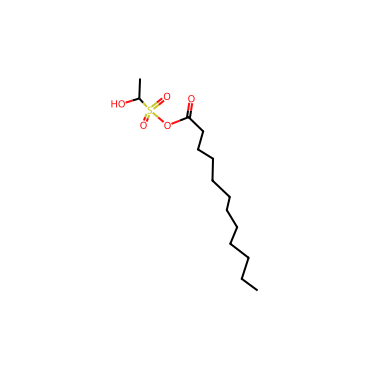 CCCCCCCCCCCC(=O)OS(=O)(=O)C(C)O